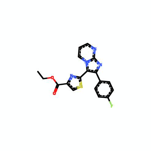 CCOC(=O)c1csc(-c2c(-c3ccc(F)cc3)nc3ncccn23)n1